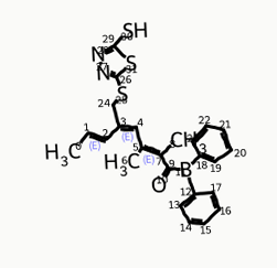 C/C=C/C(=C\C(C)=C(/C)C(=O)B(c1ccccc1)c1ccccc1)CSc1nnc(S)s1